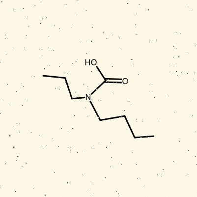 CCCCN(CCC)C(=O)O